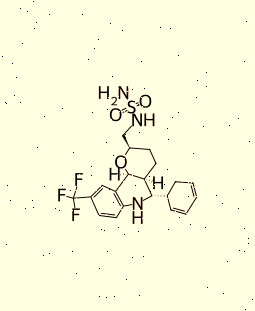 NS(=O)(=O)NC[C@H]1CC[C@@H]2[C@H](O1)c1cc(C(F)(F)F)ccc1N[C@H]2C1C=CC=CC1